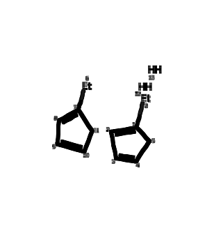 CCC1=CC=CC1.CCC1=CC=CC1.[HH].[HH]